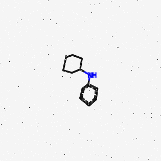 [CH]1CCC(Nc2ccccc2)CC1